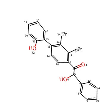 CC(C)c1c(C(=O)C(O)c2ccccc2)ccc(-c2ccccc2O)c1C(C)C